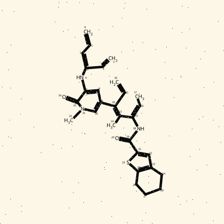 C=C/C=C(\C=C)Nc1cc(/C(C=C)=C(C)/C(=C\C)NC(=O)c2cc3c(s2)CCCC3)cn(C)c1=O